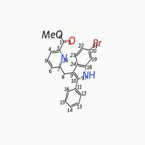 COC(=O)c1cccc(Cc2c(-c3ccccc3)[nH]c3cc(Br)ccc23)n1